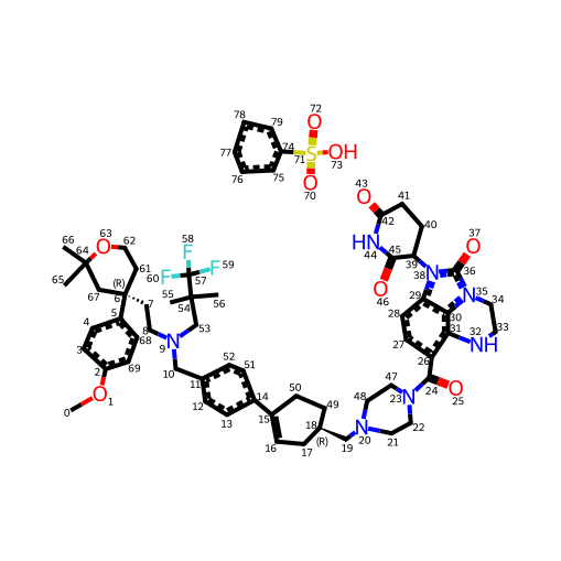 COc1ccc([C@]2(CCN(Cc3ccc(C4=CC[C@H](CN5CCN(C(=O)c6ccc7c8c6NCCn8c(=O)n7C6CCC(=O)NC6=O)CC5)CC4)cc3)CC(C)(C)C(F)(F)F)CCOC(C)(C)C2)cc1.O=S(=O)(O)c1ccccc1